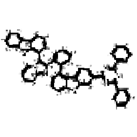 c1ccc(-c2nc(-c3ccccc3)nc(-c3ccc4c(c3)sc3cccc(-c5ccccc5-c5nc6ccccn6c5-c5cccc6c5sc5ccccc56)c34)n2)cc1